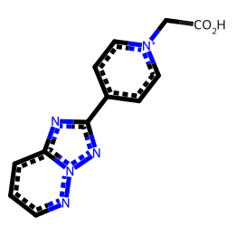 O=C(O)C[n+]1ccc(-c2nc3cccnn3n2)cc1